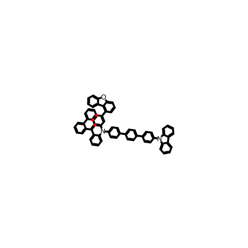 c1cc(-c2cccc3oc4ccccc4c23)cc(N(c2ccc(-c3ccc(-c4ccc(-n5c6ccccc6c6ccccc65)cc4)cc3)cc2)c2ccccc2-c2cc3ccccc3c3ccccc23)c1